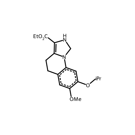 CCOC(=O)C1=C2CCc3cc(OC)c(OC(C)C)cc3N2CN1